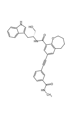 CNC(=O)c1cccc(C#Cc2cc3c(c(C(=O)N[C@@H](CO)Cc4c[nH]c5ccccc45)c2)OCCCC3)c1